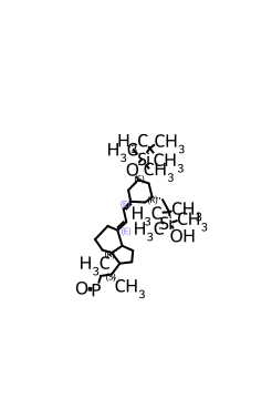 C[C@H](CP=O)C1CCC2/C(=C/C=C3\C[C@@H](CC(C)(C)[Si](C)(C)O)C[C@H](O[Si](C)(C)C(C)(C)C)C3)CCC[C@@]21C